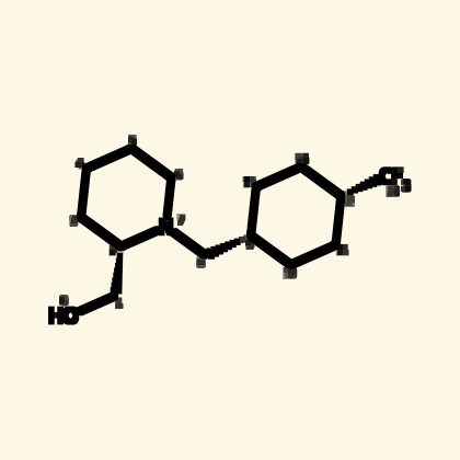 OC[C@@H]1CCCCN1C[C@H]1CC[C@@H](C(F)(F)F)CC1